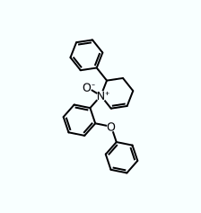 [O-][N+]1(c2ccccc2Oc2ccccc2)C=CCCC1c1ccccc1